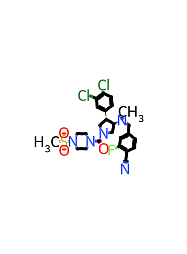 CN(Cc1ccc(C#N)c(F)c1)[C@H]1CN(C(=O)N2CCN(S(C)(=O)=O)CC2)C[C@@H]1c1ccc(Cl)c(Cl)c1